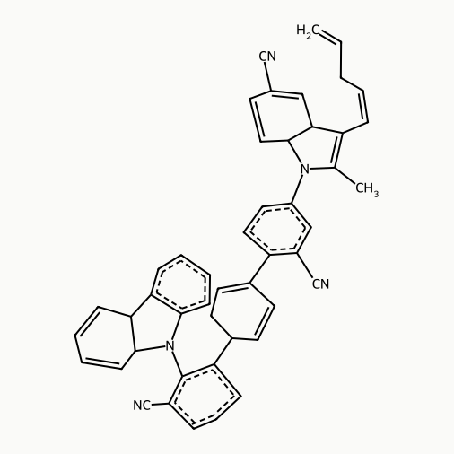 C=CC/C=C\C1=C(C)N(c2ccc(C3=CCC(c4cccc(C#N)c4N4c5ccccc5C5C=CC=CC54)C=C3)c(C#N)c2)C2C=CC(C#N)=CC12